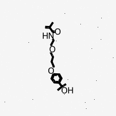 C=C(C)C(=O)NCCOCCCCOc1ccc(C(C)(C)O)cc1